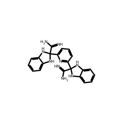 N=C(N)C1(c2cccc(C3(C(=N)N)Nc4ccccc4N3)n2)Nc2ccccc2N1